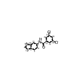 O=C(Nc1ccc2scnc2c1)c1cc(Cl)cc(Cl)c1